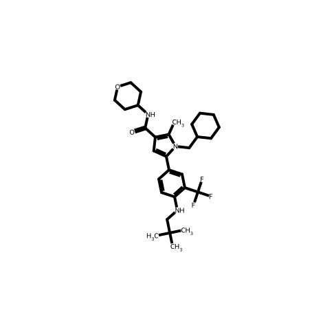 Cc1c(C(=O)NC2CCOCC2)cc(-c2ccc(NCC(C)(C)C)c(C(F)(F)F)c2)n1CC1CCCCC1